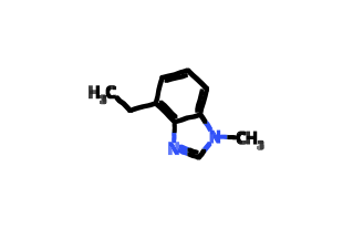 CCc1cccc2c1ncn2C